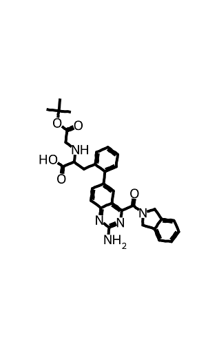 CC(C)(C)OC(=O)CNC(Cc1ccccc1-c1ccc2nc(N)nc(C(=O)N3Cc4ccccc4C3)c2c1)C(=O)O